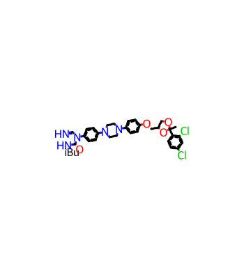 CCC(C)NC(=O)N(C=N)c1ccc(N2CCN(c3ccc(OCC4COC(C)(c5ccc(Cl)cc5Cl)O4)cc3)CC2)cc1